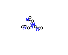 c1cc(-c2ccc3ccccc3n2)cc(-c2nc(-c3ccc(-c4cc5ccccc5cn4)cc3)nc(-c3cccc(-c4ccnc5ccccc45)c3)n2)c1